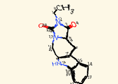 CCN1C(=O)C2Cc3c([nH]c4ccccc34)CN2C1=O